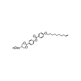 C=CCCCCCCCCOc1ccc(C(=O)Oc2ccc(C3OCC(CCCCCCCCCC)CO3)cc2)cc1